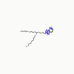 CCCCCCCCCCC(CCCCCCCCCC)CCCCn1nc2cccnc2n1